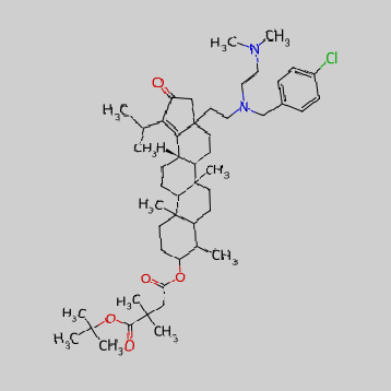 CC(C)C1=C2[C@H]3CCC4C5(C)CCC(OC(=O)CC(C)(C)C(=O)OC(C)(C)C)C(C)C5CCC4(C)C3CCC2(CCN(CCN(C)C)Cc2ccc(Cl)cc2)CC1=O